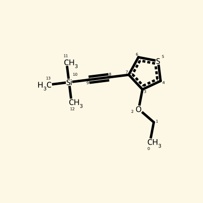 CCOc1cscc1C#C[Si](C)(C)C